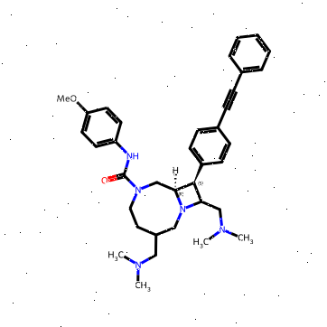 COc1ccc(NC(=O)N2CCC(CN(C)C)CN3C(CN(C)C)[C@H](c4ccc(C#Cc5ccccc5)cc4)[C@@H]3C2)cc1